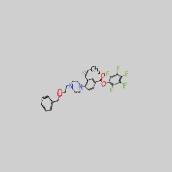 C/C=C\c1cc(C(=O)Oc2c(F)c(F)c(F)c(F)c2F)ccc1N1CCN(CCOCc2ccccc2)CC1